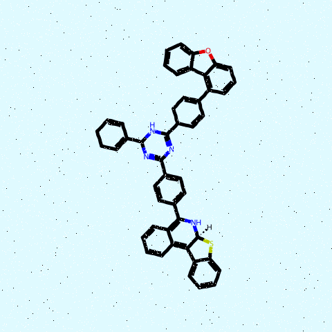 C1=CC(C2N=C(c3ccc(C4=c5ccccc5=C5c6ccccc6S[C@@H]5N4)cc3)N=C(C3C=CC(c4cccc5oc6ccccc6c45)=CC3)N2)=CCC1